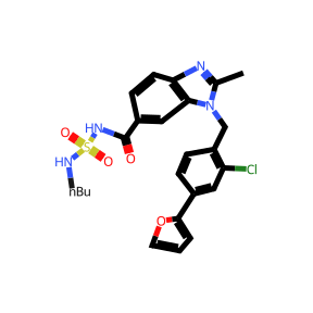 CCCCNS(=O)(=O)NC(=O)c1ccc2nc(C)n(Cc3ccc(-c4ccco4)cc3Cl)c2c1